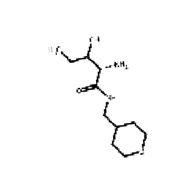 CCC(C)[C@H](N)C(=O)NCC1CCOCC1